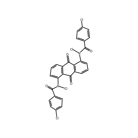 O=C1c2cccc(N(Cl)C(=O)c3ccc(Cl)cc3)c2C(=O)c2cccc(N(Cl)C(=O)c3ccc(Cl)cc3)c21